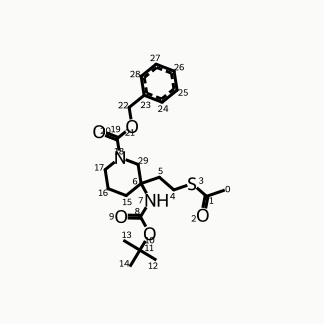 CC(=O)SCCC1(NC(=O)OC(C)(C)C)CCCN(C(=O)OCc2ccccc2)C1